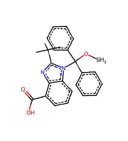 CC(C)(C)c1nc2c(C(=O)O)cccc2n1C(O[SiH3])(c1ccccc1)c1ccccc1